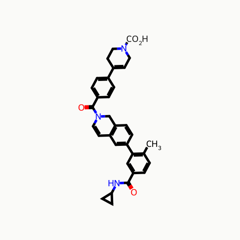 Cc1ccc(C(=O)NC2CC2)cc1-c1ccc2c(c1)C=CN(C(=O)c1ccc(C3=CCN(C(=O)O)CC3)cc1)C2